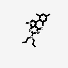 CCCN(CCC)c1nc2c(c(-c3c(C)cc(C)cc3C)cn2C)c(=O)[nH]1